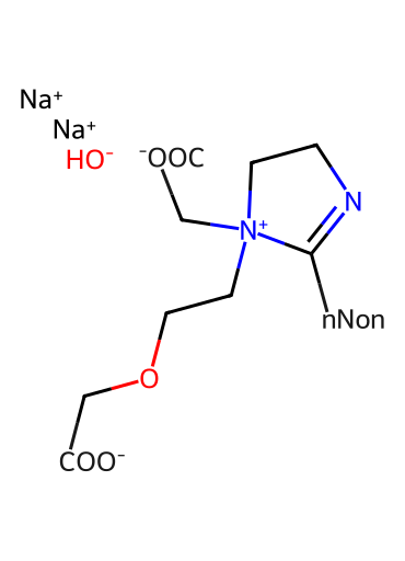 CCCCCCCCCC1=NCC[N+]1(CCOCC(=O)[O-])CC(=O)[O-].[Na+].[Na+].[OH-]